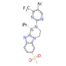 CC(=O)c1cnc(N2CCn3c(nc4ccc(S(C)(=O)=O)cc43)[C@@H]2C(C)C)nc1C(F)(F)F